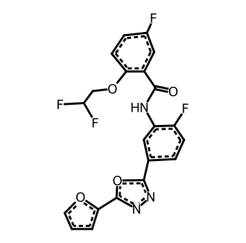 O=C(Nc1cc(-c2nnc(-c3ccco3)o2)ccc1F)c1cc(F)ccc1OCC(F)F